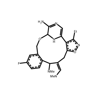 CCc1noc2c1C1=CN=C(N)C(N1)OCc1cc(F)ccc1C(NC)/C(=C\NC)C2